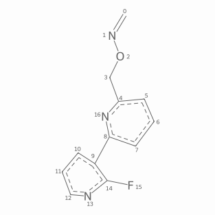 C=NOCc1cccc(-c2cccnc2F)n1